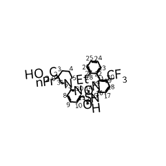 CCCC1(C(=O)O)CCCN(c2cccc(S(=O)(=O)Nc3ccc(C(F)(F)F)c(-c4ccccc4CC)n3)n2)C1